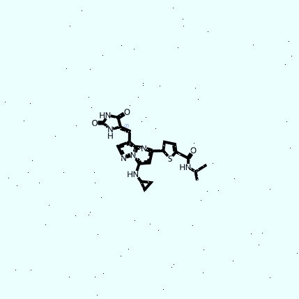 CC(C)NC(=O)C1=CCC(c2cc(NC3CC3)n3ncc(/C=C4\NC(=O)NC4=O)c3n2)S1